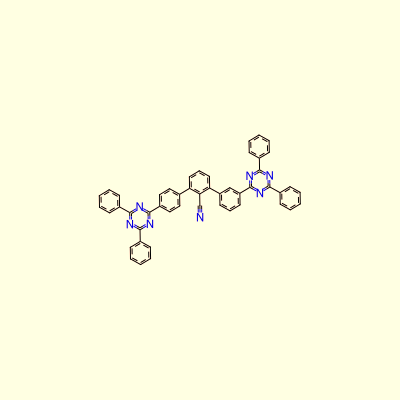 N#Cc1c(-c2ccc(-c3nc(-c4ccccc4)nc(-c4ccccc4)n3)cc2)cccc1-c1cccc(-c2nc(-c3ccccc3)nc(-c3ccccc3)n2)c1